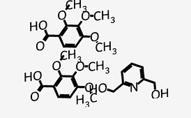 COc1ccc(C(=O)O)c(OC)c1OC.COc1ccc(C(=O)O)c(OC)c1OC.OCc1cccc(CO)n1